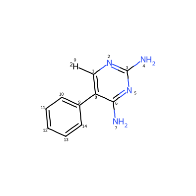 [2H]c1nc(N)nc(N)c1-c1ccccc1